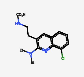 CCN(CC)c1nc2c(Cl)cccc2cc1CCNC(=O)O